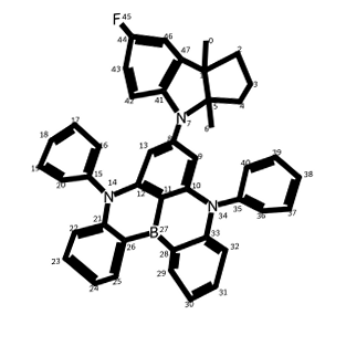 CC12CCCC1(C)N(c1cc3c4c(c1)N(c1ccccc1)c1ccccc1B4c1ccccc1N3c1ccccc1)c1ccc(F)cc12